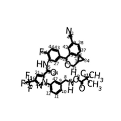 CC(C)(C)C(=O)ONCc1cccc(-n2nc(C(F)(F)F)cc2C(=O)Nc2cc(C(OCC3CC3)c3cccc(C#N)c3)ccc2F)c1